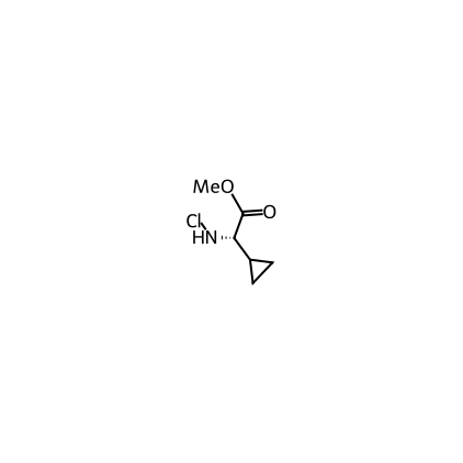 COC(=O)[C@@H](NCl)C1CC1